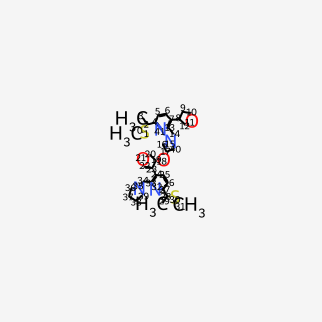 CSC(C)c1ccc(C2CCOC2)c(CN2CC(OC3COC[C@@H]3c3ccc(C(C)SC)nc3CN3CCCC3)C2)n1